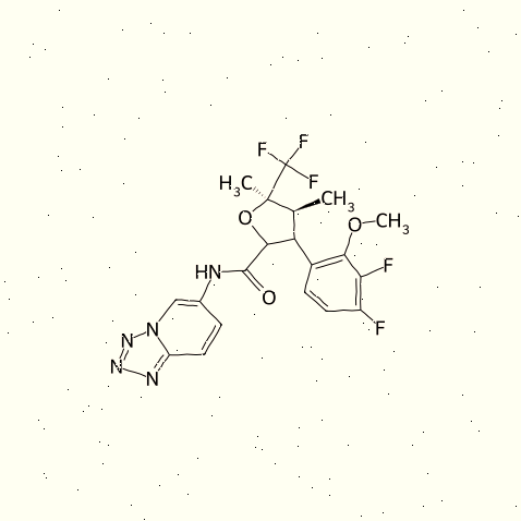 COc1c(C2C(C(=O)Nc3ccc4nnnn4c3)O[C@@](C)(C(F)(F)F)[C@H]2C)ccc(F)c1F